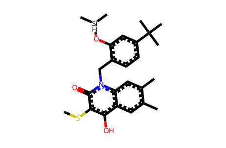 CSc1c(O)c2cc(C)c(C)cc2n(Cc2ccc(C(C)(C)C)cc2O[SiH](C)C)c1=O